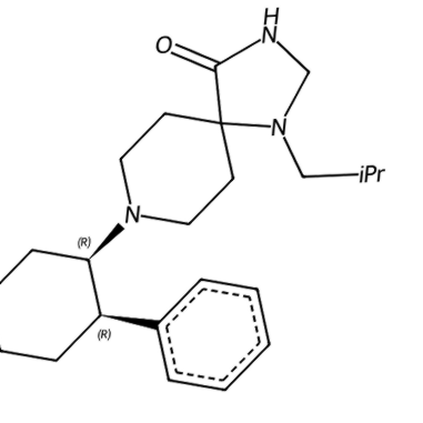 CC(C)CN1CNC(=O)C12CCN([C@@H]1CCCC[C@@H]1c1ccccc1)CC2